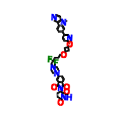 Cn1c2ccncc2c2ccc(-c3ccc(O[C@H]4C[C@H](OCCCC(F)(F)CN5CCN(c6ccc7c(c6)C(=O)N(C6CCC(=O)NC6=O)C7=O)CC5)C4)nc3)cc21